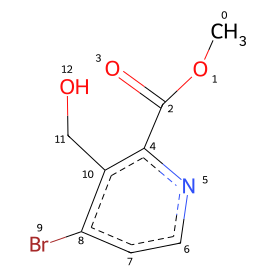 COC(=O)c1nccc(Br)c1CO